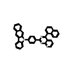 c1ccc2cc3c(cc2c1)c1ccccc1n3-c1ccc(-c2nc(-c3cccc4ccccc34)c3cccnc3n2)cc1